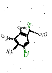 COc1c(C(Br)C=O)cc(Cl)c(C)c1[N+](=O)[O-]